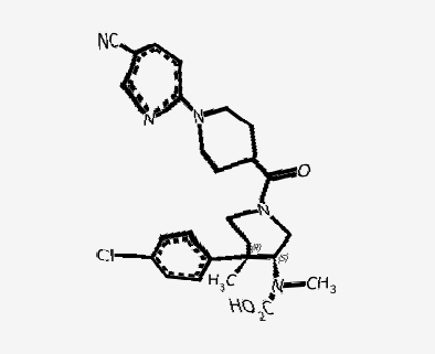 CN(C(=O)O)[C@@H]1CN(C(=O)C2CCN(c3ccc(C#N)cn3)CC2)C[C@@]1(C)c1ccc(Cl)cc1